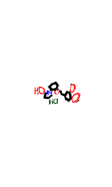 COc1ccc(CCO[C@@H]2CCCC[C@H]2N2CCCC2O)cc1OC.Cl